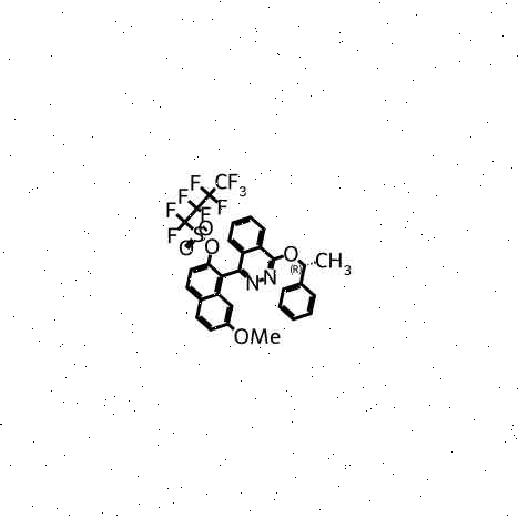 COc1ccc2ccc(OS(=O)(=O)C(F)(F)C(F)(F)C(F)(F)C(F)(F)F)c(-c3nnc(O[C@H](C)c4ccccc4)c4ccccc34)c2c1